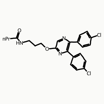 CCCC(=O)NCCCOc1cnc(-c2ccc(Cl)cc2)c(-c2ccc(Cl)cc2)n1